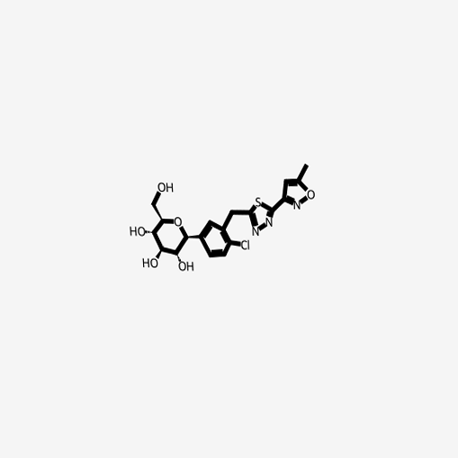 Cc1cc(-c2nnc(Cc3cc([C@@H]4O[C@H](CO)[C@@H](O)[C@H](O)[C@H]4O)ccc3Cl)s2)no1